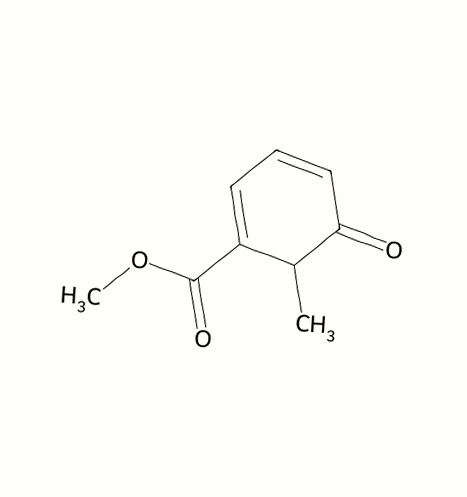 COC(=O)C1=CC=CC(=O)C1C